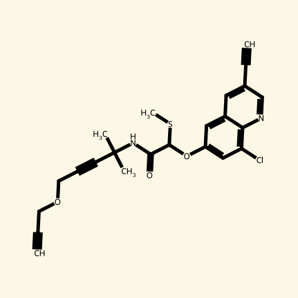 C#CCOCC#CC(C)(C)NC(=O)C(Oc1cc(Cl)c2ncc(C#C)cc2c1)SC